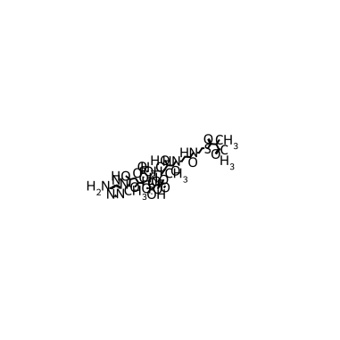 CC(=O)C(C)C(=O)SCCNC(=O)CCNC(=O)C(O)C(C)(C)COP(=O)(O)OP(=O)(O)OCC1OC(C)(n2cnc3c(N)ncnc32)C(O)C1OP(=O)(O)O